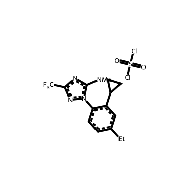 CCc1ccc(-n2nc(C(F)(F)F)nc2NC)c(C2CC2)c1.O=S(=O)(Cl)Cl